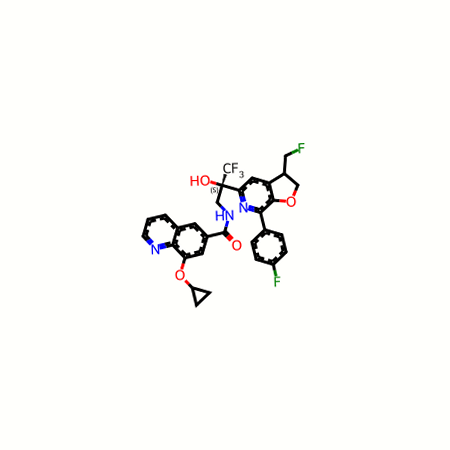 O=C(NC[C@](O)(c1cc2c(c(-c3ccc(F)cc3)n1)OCC2CF)C(F)(F)F)c1cc(OC2CC2)c2ncccc2c1